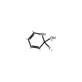 OC1(F)C=CC=CN1